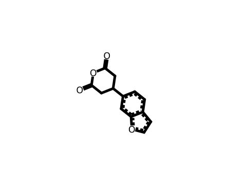 O=C1CC(c2ccc3ccoc3c2)CC(=O)O1